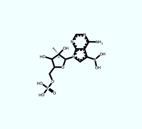 C[C@@]1(O)C(O)C(COP(=O)(O)O)OC1n1cc(B(O)O)c2c(N)ncnc21